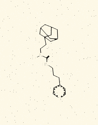 CCN(CCC12CC3CC(CC(C3)C1)C2)C(=O)NCCCc1ccncc1